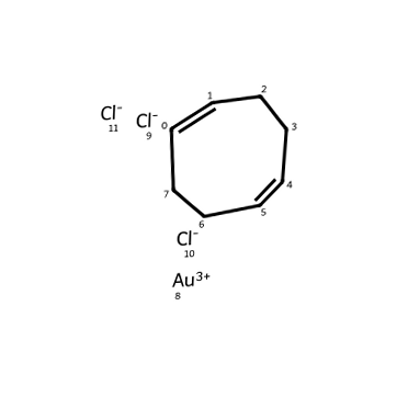 C1=C\CC/C=C\CC/1.[Au+3].[Cl-].[Cl-].[Cl-]